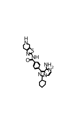 Nc1nccn2c(C3CCCCC3)nc(-c3ccc(C(=O)Nc4nc5c(s4)CNCC5)cc3)c12